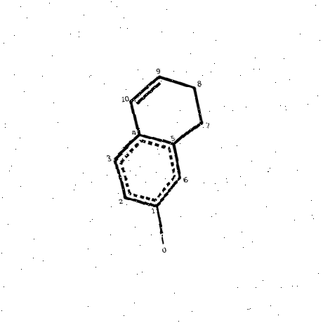 Ic1ccc2c(c1)CCC=[C]2